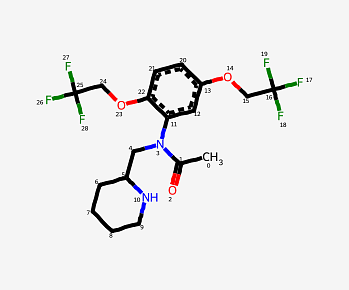 CC(=O)N(CC1CCCCN1)c1cc(OCC(F)(F)F)ccc1OCC(F)(F)F